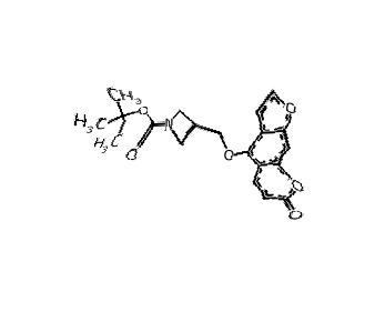 CC(C)(C)OC(=O)N1CC(COc2c3ccoc3cc3oc(=O)ccc23)C1